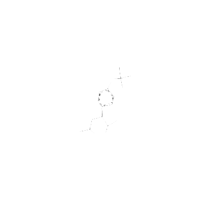 CC(C)CC(c1ccc(OC(C)(C)C)cc1)C(C)C